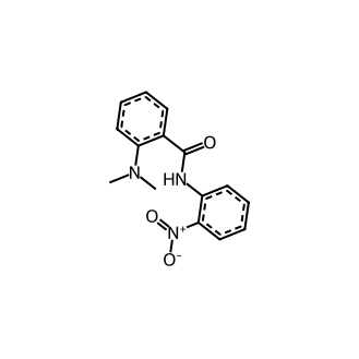 CN(C)c1ccccc1C(=O)Nc1ccccc1[N+](=O)[O-]